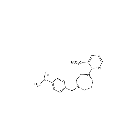 CCOC(=O)c1cccnc1N1CCCN(Cc2ccc(N(C)C)cc2)CC1